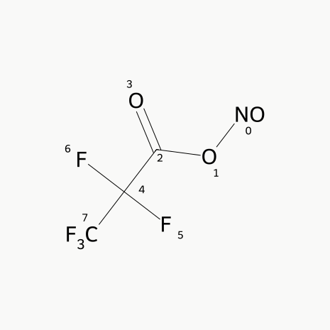 O=NOC(=O)C(F)(F)C(F)(F)F